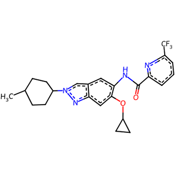 CC1CCC(n2cc3cc(NC(=O)c4cccc(C(F)(F)F)n4)c(OC4CC4)cc3n2)CC1